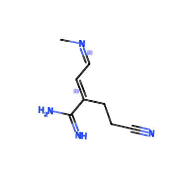 C/N=C\C=C(/CCC#N)C(=N)N